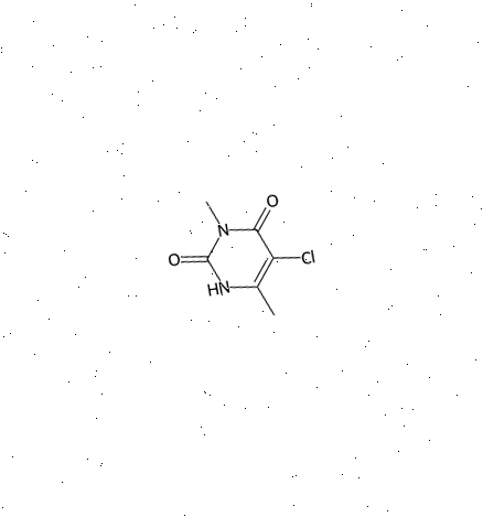 Cc1[nH]c(=O)n(C)c(=O)c1Cl